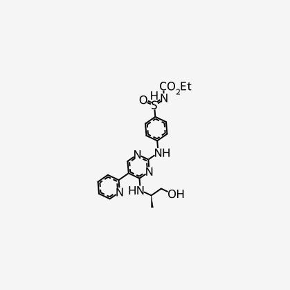 CCOC(=O)/N=[SH](=O)/c1ccc(Nc2ncc(-c3ccccn3)c(N[C@H](C)CO)n2)cc1